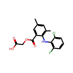 Cc1cc(C)c(Nc2c(F)cccc2Cl)c(C(=O)OCC(=O)O)c1